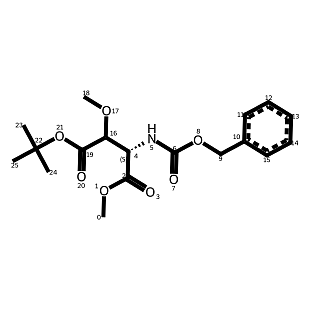 COC(=O)[C@@H](NC(=O)OCc1ccccc1)C(OC)C(=O)OC(C)(C)C